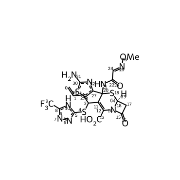 C=CCC(Sc1nnc(C(F)(F)F)[nH]1)C1=C(C(=O)O)N2C(=O)C[C@@H]2SC1(NC(=O)C=NOC)c1csc(N)n1